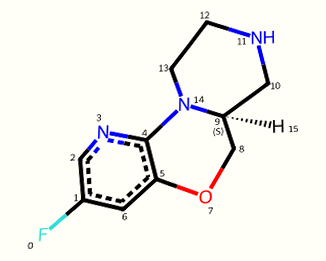 Fc1cnc2c(c1)OC[C@@H]1CNCCN21